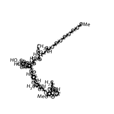 C=CCOC(=O)N[C@@H](CCCCNC(=O)CCOCCOCCOCCOCCOCCOCCOCCOC)C(=O)NCCC(=O)Nc1cc(COC(=O)Nc2ccc(NC(=O)c3cc(NC(=O)CCCOc4cc5c(cc4OC)C(=O)N4CCCC[C@H]4C(O)N5C(=O)OCC=C)cn3C)cc2)ccc1O[C@@H]1O[C@H](C(=O)O)[C@@H](O)[C@H](O)[C@H]1O